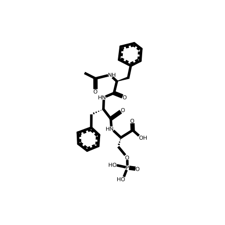 CC(=O)N[C@@H](Cc1ccccc1)C(=O)N[C@@H](Cc1ccccc1)C(=O)N[C@@H](COP(=O)(O)O)C(=O)O